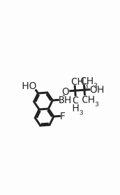 CC(C)(O)C(C)(C)OBc1cc(O)cc2cccc(F)c12